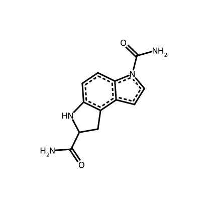 NC(=O)C1Cc2c(ccc3c2ccn3C(N)=O)N1